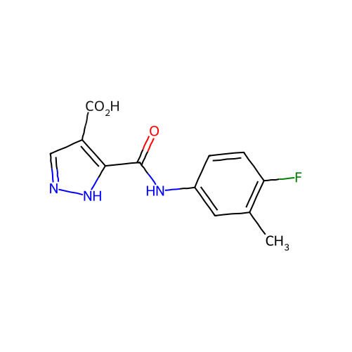 Cc1cc(NC(=O)c2[nH]ncc2C(=O)O)ccc1F